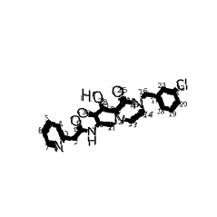 O=C(Cc1ccccn1)Nc1cn2ccn(Cc3cccc(Cl)c3)c(=O)c2c(O)c1=O